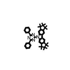 CC1(C)c2cc3c4cc5c(cc4n(-c4nc(-c6ccccc6)nc(-c6ccccc6)n4)c3cc2C(C)(C)C1(C)C)C(C)(C)C(C)(C)C5(C)C